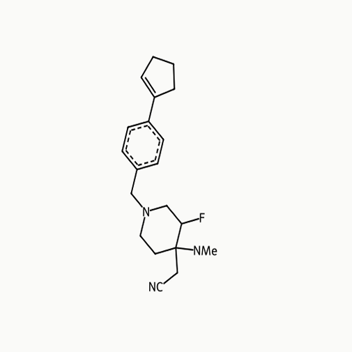 CNC1(CC#N)CCN(Cc2ccc(C3=CCCC3)cc2)CC1F